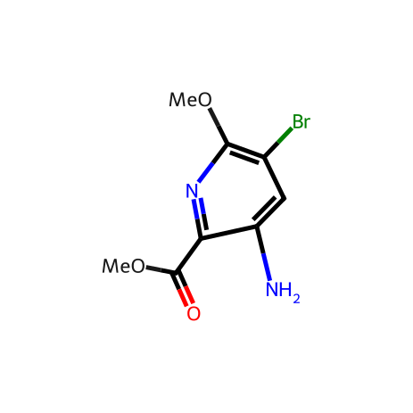 COC(=O)c1nc(OC)c(Br)cc1N